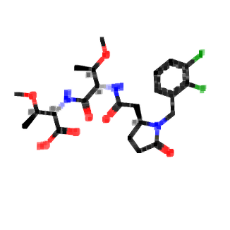 CO[C@H](C)[C@H](NC(=O)[C@@H](NC(=O)C[C@@H]1CCC(=O)N1Cc1cccc(F)c1F)[C@@H](C)OC)C(=O)O